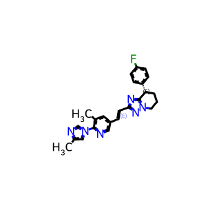 Cc1cn(-c2ncc(/C=C/c3nc4n(n3)CCC[C@H]4c3ccc(F)cc3)cc2C)cn1